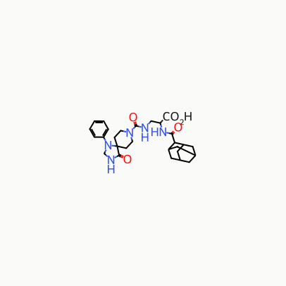 O=C(O)C(CNC(=O)N1CCC2(CC1)C(=O)NCN2c1ccccc1)NC(=O)C1C2CC3CC(C2)CC1C3